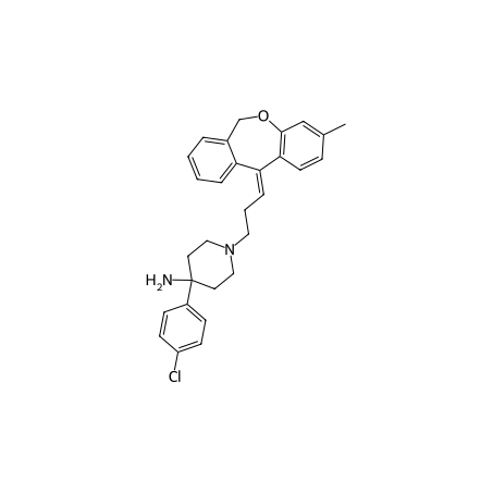 Cc1ccc2c(c1)OCc1ccccc1C2=CCCN1CCC(N)(c2ccc(Cl)cc2)CC1